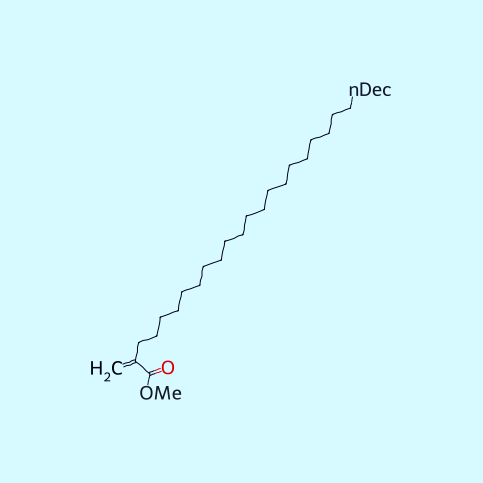 C=C(CCCCCCCCCCCCCCCCCCCCCCCCCCCCCC)C(=O)OC